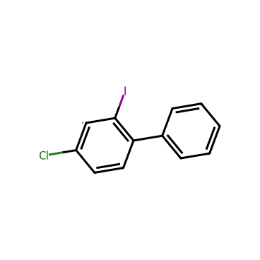 Clc1[c]c(I)c(-c2ccccc2)cc1